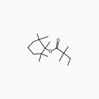 CCC(C)(C)C(=O)OC1(C)C(C)(C)CCCC1(C)C